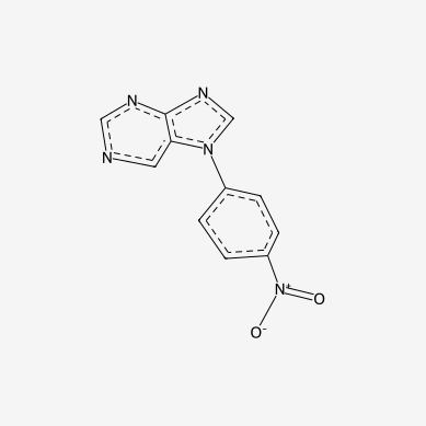 O=[N+]([O-])c1ccc(-n2cnc3ncncc32)cc1